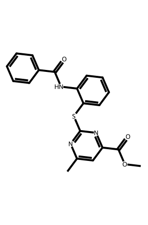 COC(=O)c1cc(C)nc(Sc2ccccc2NC(=O)c2ccccc2)n1